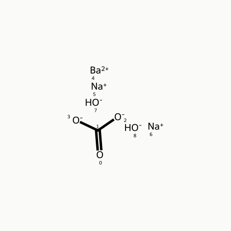 O=C([O-])[O-].[Ba+2].[Na+].[Na+].[OH-].[OH-]